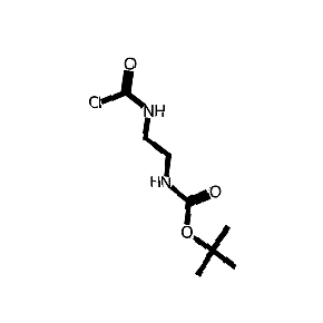 CC(C)(C)OC(=O)NCCNC(=O)Cl